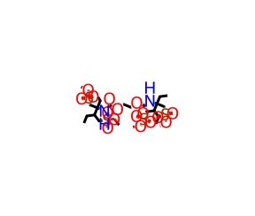 CCC(CS(=O)(=O)OC)C(CC)(CS(=O)(=O)OC)NC(=O)OCCOC(=O)NC(CC)(CS(=O)(=O)OC)C(CC)CS(=O)(=O)OC